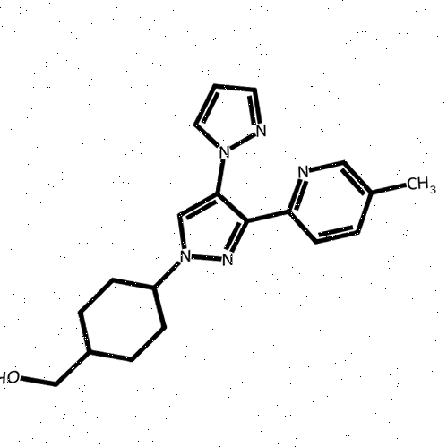 Cc1ccc(-c2nn(C3CCC(CO)CC3)cc2-n2cccn2)nc1